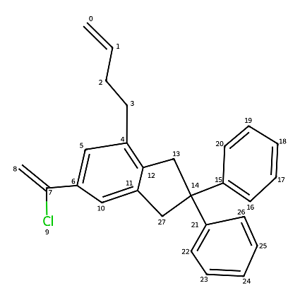 C=CCCc1cc(C(=C)Cl)cc2c1CC(c1ccccc1)(c1ccccc1)C2